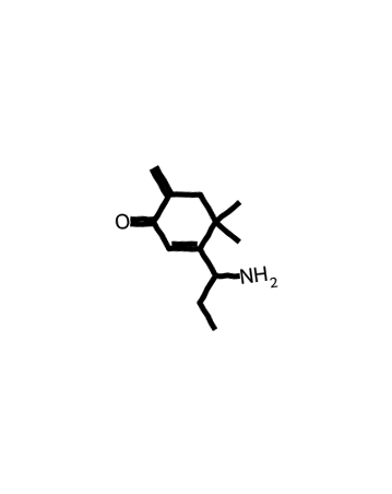 C=C1CC(C)(C)C(C(N)CC)=CC1=O